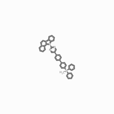 C[Si](c1ccccc1)(c1ccccc1)c1ccc(-c2ccc(-c3cnc(-n4c5ccccc5c5ccc6ccccc6c54)nc3)cc2)cc1